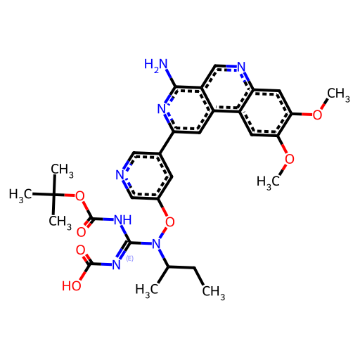 CCC(C)N(Oc1cncc(-c2cc3c(cnc4cc(OC)c(OC)cc43)c(N)n2)c1)/C(=N/C(=O)O)NC(=O)OC(C)(C)C